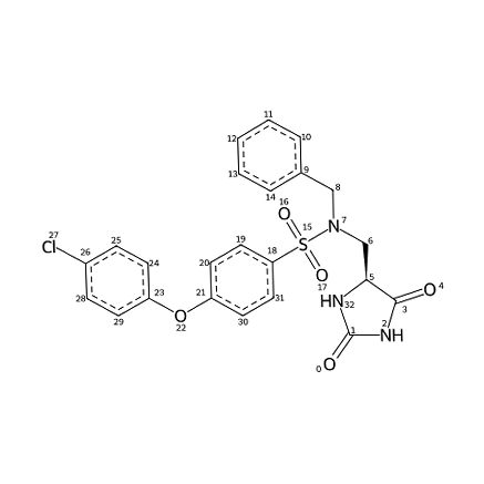 O=C1NC(=O)[C@H](CN(Cc2ccccc2)S(=O)(=O)c2ccc(Oc3ccc(Cl)cc3)cc2)N1